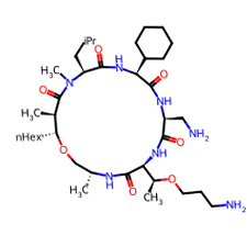 CCCCCC[C@H]1OC[C@@H](C)NC(=O)[C@H]([C@H](C)OCCCN)NC(=O)[C@H](CN)NC(=O)[C@H](C2CCCCC2)NC(=O)[C@H](CC(C)C)N(C)C(=O)[C@@H]1C